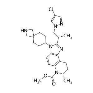 COC(=O)N1c2ccc3c(nc(C(C)Cn4cc(Cl)cn4)n3C3CCC4(CC3)CNC4)c2CC[C@@H]1C